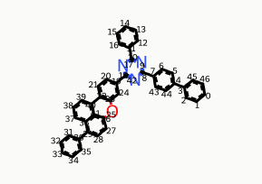 c1ccc(-c2ccc(-c3nc(-c4ccccc4)nc(-c4ccc5c(c4)Oc4ccc(-c6ccccc6)c6cccc-5c46)n3)cc2)cc1